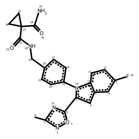 Cc1noc(-c2cc3cc(F)ccc3n2-c2ccc(CNC(=O)C3(C(N)=O)CC3)cc2)n1